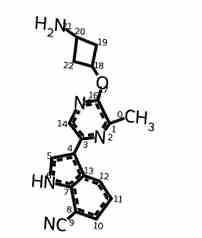 Cc1nc(-c2c[nH]c3c(C#N)cccc23)cnc1OC1CC(N)C1